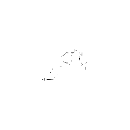 FC(F)(F)c1nnc2ccc(N3CC4CNCC4C3)nn12